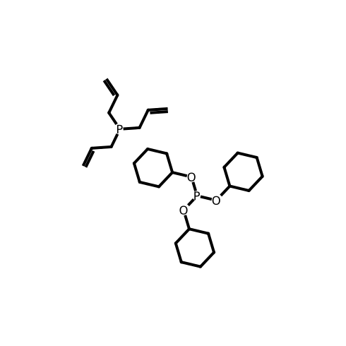 C1CCC(OP(OC2CCCCC2)OC2CCCCC2)CC1.C=CCP(CC=C)CC=C